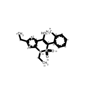 CCc1nc2c(s1)C(O)=C(c1ccccc1C)S(=O)(=O)N2CC